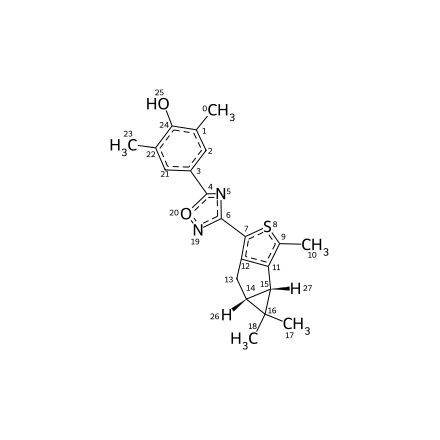 Cc1cc(-c2nc(-c3sc(C)c4c3C[C@@H]3[C@H]4C3(C)C)no2)cc(C)c1O